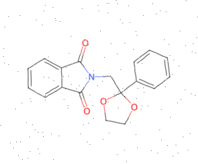 O=C1c2ccccc2C(=O)N1CC1(c2ccccc2)OCCO1